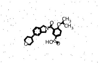 CC(C)OC1CC=C(S(=O)O)C=C1C(=O)N1Cc2ccc(C3CCOCC3)cc2C1